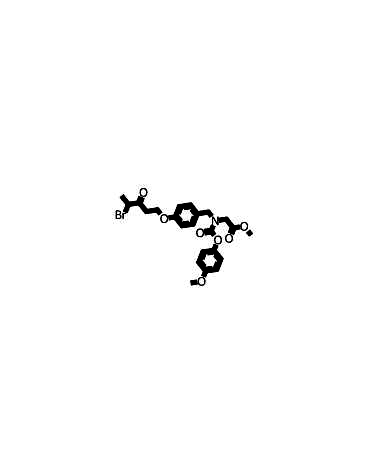 COC(=O)CN(Cc1ccc(OCCC(=O)C(C)Br)cc1)C(=O)Oc1ccc(OC)cc1